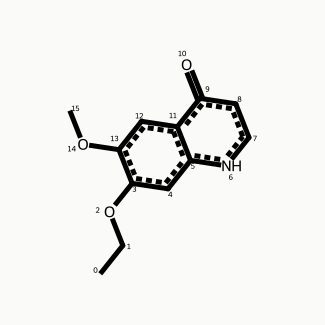 CCOc1cc2[nH]ccc(=O)c2cc1OC